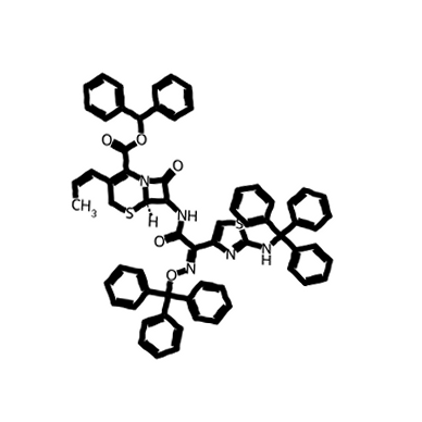 C/C=C\C1=C(C(=O)OC(c2ccccc2)c2ccccc2)N2C(=O)C(NC(=O)/C(=N\OC(c3ccccc3)(c3ccccc3)c3ccccc3)c3csc(NC(c4ccccc4)(c4ccccc4)c4ccccc4)n3)[C@H]2SC1